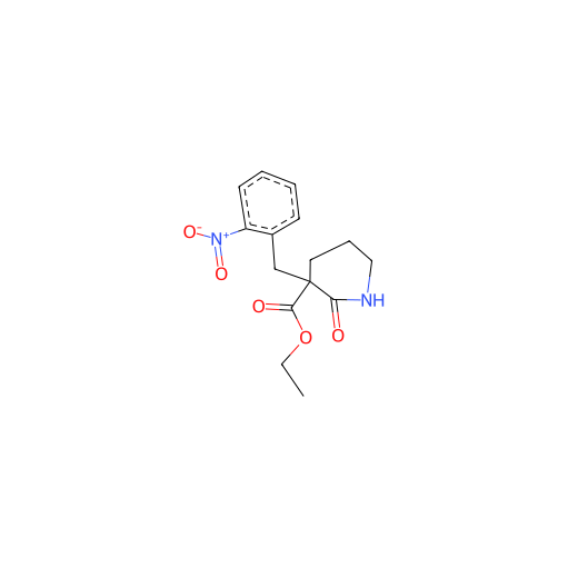 CCOC(=O)C1(Cc2ccccc2[N+](=O)[O-])CCCNC1=O